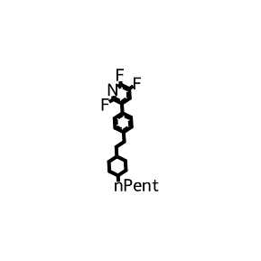 CCCCCC1CCC(CCc2ccc(-c3cc(F)c(F)nc3F)cc2)CC1